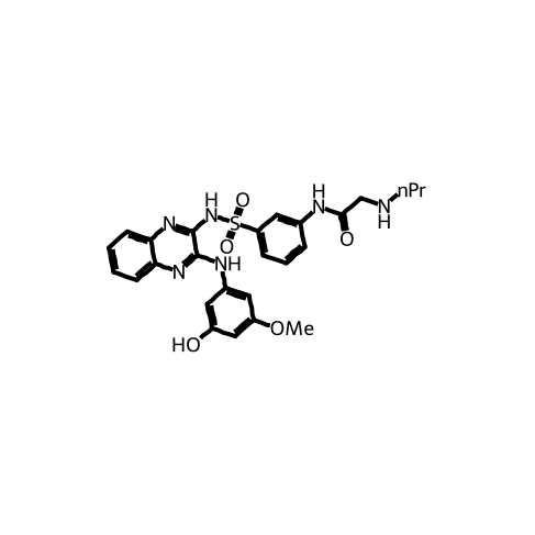 CCCNCC(=O)Nc1cccc(S(=O)(=O)Nc2nc3ccccc3nc2Nc2cc(O)cc(OC)c2)c1